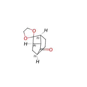 O=C1C2[C@H]3C[C@@H]1CC[C@@H]2C31OCCO1